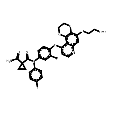 COCCOc1cc2nccc(Oc3ccc(N(C(=O)C4(C(N)=O)CC4)c4ccc(F)cc4)cc3F)c2c2c1OCCO2